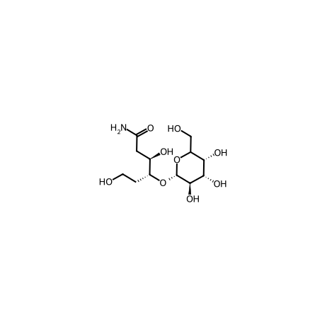 NC(=O)C[C@@H](O)[C@@H](CCO)O[C@@H]1OC(CO)[C@H](O)[C@H](O)[C@H]1O